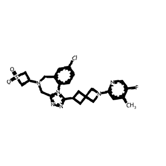 Cc1cc(N2CC3(CC(c4nnc5n4-c4ccc(Cl)cc4CN(C4CS(=O)(=O)C4)C5)C3)C2)ncc1F